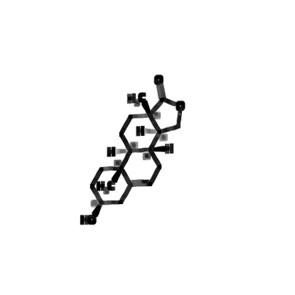 C[C@]12CC[C@H](O)CC1=CC[C@@H]1[C@@H]2CC[C@]2(C)C(=O)OC[C@@H]12